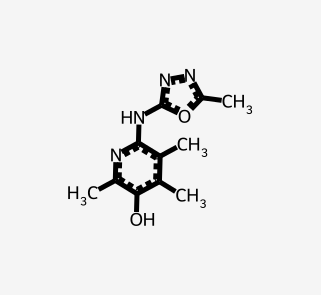 Cc1nnc(Nc2nc(C)c(O)c(C)c2C)o1